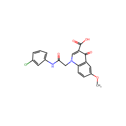 COc1ccc2c(c1)c(=O)c(C(=O)O)cn2CC(=O)Nc1cccc(Cl)c1